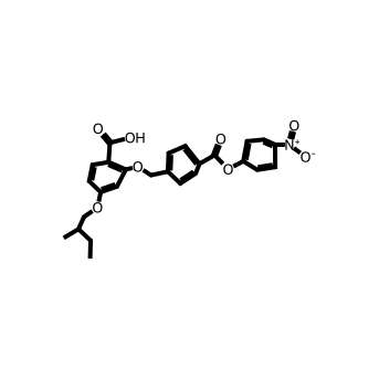 CCC(C)COc1ccc(C(=O)O)c(OCc2ccc(C(=O)Oc3ccc([N+](=O)[O-])cc3)cc2)c1